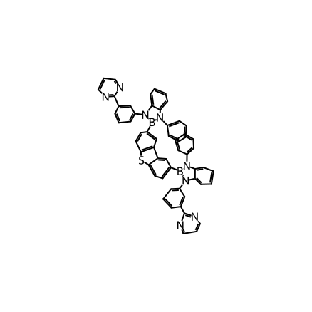 c1ccc(N2B(c3ccc4sc5ccc(B6N(c7ccccc7)c7ccccc7N6c6cccc(-c7ncccn7)c6)cc5c4c3)N(c3cccc(-c4ncccn4)c3)c3ccccc32)cc1